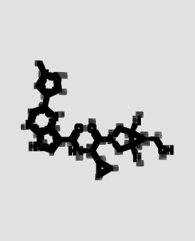 Cn1cc(-c2cnc3[nH]cc(C(=O)N[C@@H](C(=O)N4C[C@@H]5[C@H](CO)[C@@H]5C4)C4CC4)c3n2)cn1